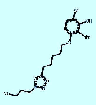 CCCc1c(OCCCCCc2nnn(CCCC#N)n2)ccc(C(C)=O)c1O